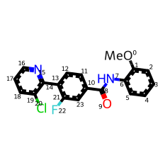 COc1ccccc1NC(=O)c1ccc(-c2ncccc2Cl)c(F)c1